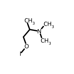 CC(COI)N(C)C